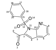 CC(=O)c1cc2cccnc2n1S(=O)(=O)c1ccccc1